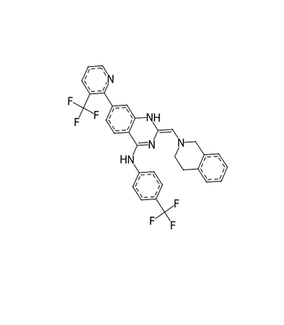 FC(F)(F)c1ccc(NC2=NC(=CN3CCc4ccccc4C3)Nc3cc(-c4ncccc4C(F)(F)F)ccc32)cc1